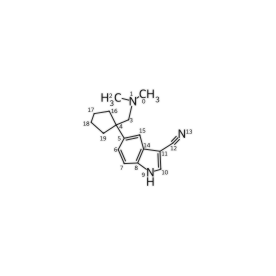 CN(C)CC1(c2ccc3[nH]cc(C#N)c3c2)CCCC1